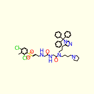 Cc1c(Cl)ccc(S(=O)(=O)C=CCNCC(=O)NCC(=O)N(CCCCN2CCCC2)CCCc2cncn2C(c2ccccc2)(c2ccccc2)c2ccccc2)c1Cl